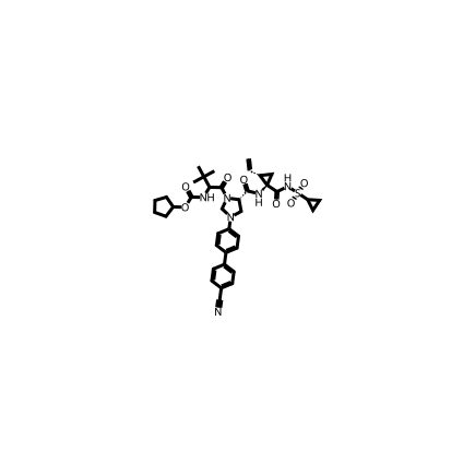 C=C[C@@H]1C[C@]1(NC(=O)[C@@H]1CN(c2ccc(-c3ccc(C#N)cc3)cc2)CN1C(=O)C(NC(=O)OC1CCCC1)C(C)(C)C)C(=O)NS(=O)(=O)C1CC1